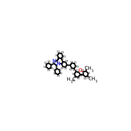 Cc1cc(C)c2oc3c(-c4cccc(-c5ccc6c(c5)c5ccccc5c5nc(-c7ccccc7)c(-c7ccccc7)n65)c4)cc(C)cc3c2c1